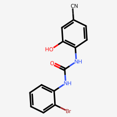 N#Cc1ccc(NC(=O)Nc2ccccc2Br)c(O)c1